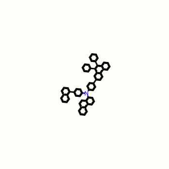 c1ccc(-c2c(-c3ccccc3)c3cc(-c4ccc(N(c5ccc(-c6cccc7ccccc67)cc5)c5cccc6c5ccc5ccccc56)cc4)ccc3c3ccccc23)cc1